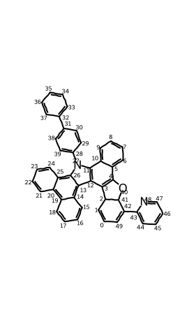 C1=CC2c3c(c4ccccc4c4c3c3c5ccccc5c5ccccc5c3n4-c3ccc(-c4ccccc4)cc3)OC2C(c2ccccn2)=C1